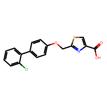 O=C(O)c1csc(COc2ccc(-c3ccccc3Cl)cc2)n1